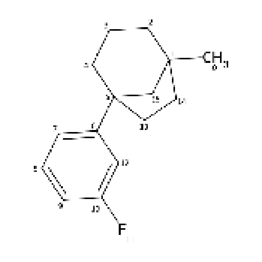 CC12CCCC(c3cccc(F)c3)(CC1)C2